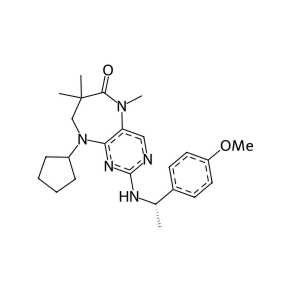 COc1ccc([C@H](C)Nc2ncc3c(n2)N(C2CCCC2)CC(C)(C)C(=O)N3C)cc1